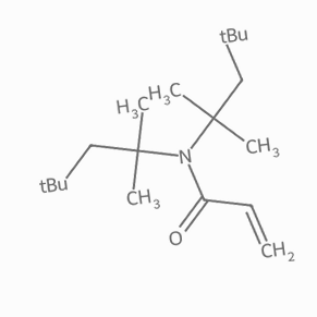 C=CC(=O)N(C(C)(C)CC(C)(C)C)C(C)(C)CC(C)(C)C